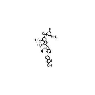 COc1cc(C(=O)N2C[C@H](N)C[C@@H](F)C2)cc2nc(-c3cc4ccc(-c5ccc6nc(O)cnc6c5)nc4n3CC3CC3)n(C)c12